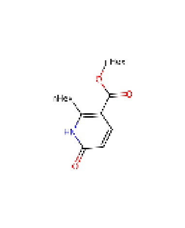 CCCCCCOC(=O)c1ccc(=O)[nH]c1CCCCCC